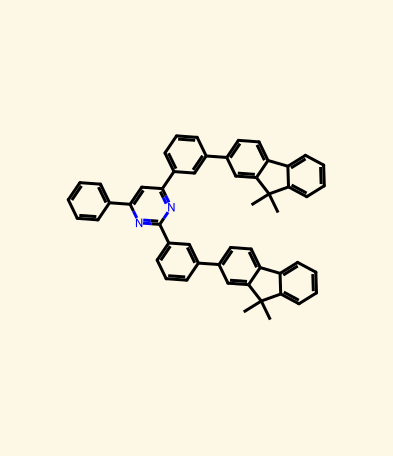 CC1(C)c2ccccc2-c2ccc(-c3cccc(-c4cc(-c5ccccc5)nc(-c5cccc(-c6ccc7c(c6)C(C)(C)c6ccccc6-7)c5)n4)c3)cc21